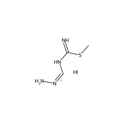 CSC(=N)N/C=N\N.I